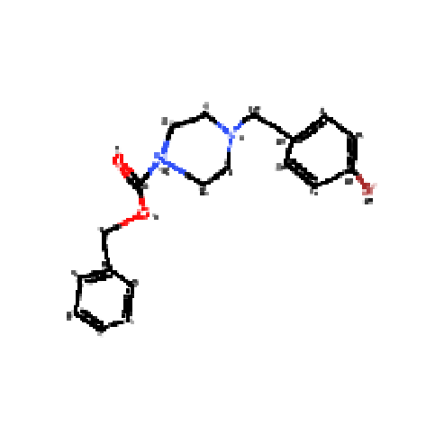 O=C(OCc1ccccc1)N1CCN(Cc2ccc(Br)cc2)CC1